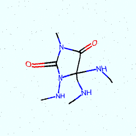 [CH2]N1C(=O)N(NC)C(NC)(NC)C1=O